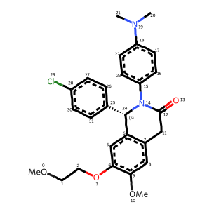 COCCOc1cc2c(cc1OC)CC(=O)N(c1ccc(N(C)C)cc1)[C@H]2c1ccc(Cl)cc1